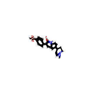 CN1CCC(c2ccc3[nH]c(=O)c(-c4ccc(S(C)(=O)=O)cc4)cc3c2)CC1